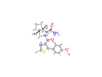 COc1ccc(-c2sc(C)nc2C(=O)N2C[C@@H]3CCC[C@@H]3[C@H]2C(N)=O)cc1